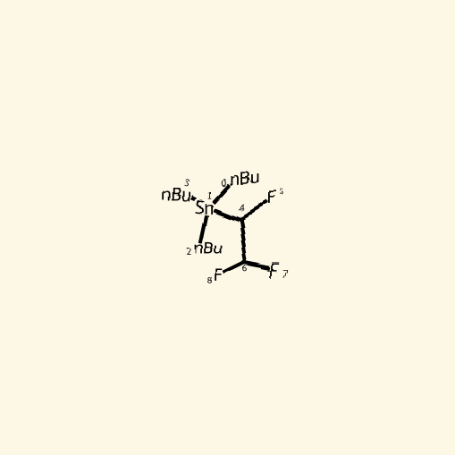 CCC[CH2][Sn]([CH2]CCC)([CH2]CCC)[CH](F)C(F)F